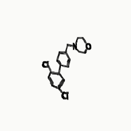 Clc1ccc(Cl)c(-c2ccc(CN3CCOCC3)cc2)c1